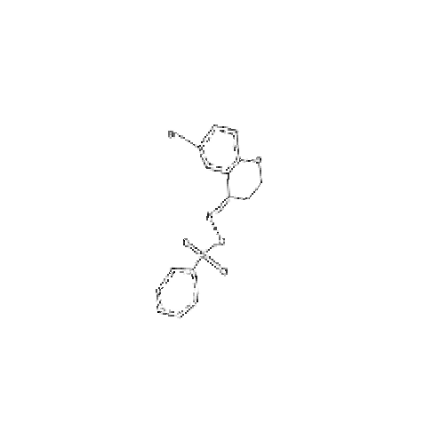 O=S(=O)(ON=C1CCOc2ccc(Br)cc21)c1ccccc1